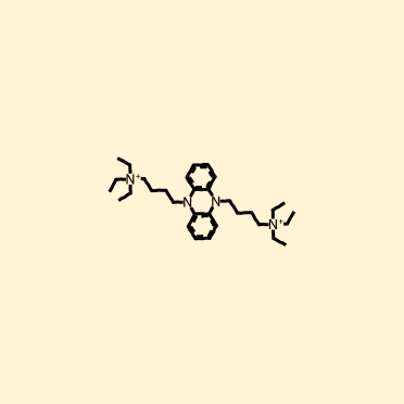 CC[N+](CC)(CC)CCCCN1c2ccccc2N(CCCC[N+](CC)(CC)CC)c2ccccc21